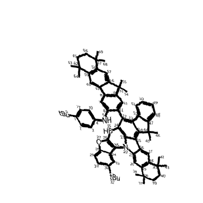 CC(C)(C)c1ccc(Nc2cc3c(cc2-c2c4c(c5c6cc7c(cc6n6c5c2Bc2oc5ccc(C(C)(C)C)cc5c2-6)C(C)(C)CCC7(C)C)C(C)(C)c2ccccc2-4)C(C)(C)c2cc4c(cc2-3)C(C)(C)CCC4(C)C)cc1